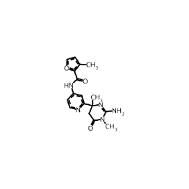 Cc1ccoc1C(=O)Nc1ccnc(C2(C)CC(=O)N(C)C(N)=N2)c1